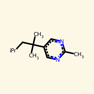 Cc1ncc(C(C)(C)CC(C)C)cn1